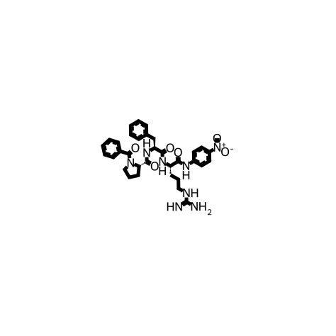 N=C(N)NCCC[C@H](NC(=O)[C@H](Cc1ccccc1)NC(=O)[C@@H]1CCCN1C(=O)c1ccccc1)C(=O)Nc1ccc([N+](=O)[O-])cc1